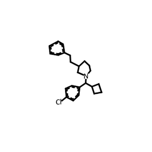 Clc1ccc(C(C2CCC2)N2CCCC(CCc3ccccc3)C2)cc1